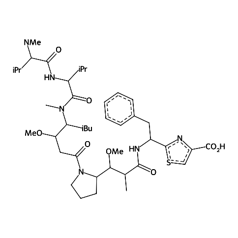 CCC(C)C(C(CC(=O)N1CCCC1C(OC)C(C)C(=O)NC(Cc1ccccc1)c1nc(C(=O)O)cs1)OC)N(C)C(=O)C(NC(=O)C(NC)C(C)C)C(C)C